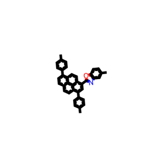 Cc1ccc(-c2ccc3ccc4c(-c5ccc(C)cc5)cc(-c5nc6cc(C)ccc6o5)c5ccc2c3c45)cc1